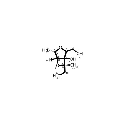 B[C@@H]1OC(CO)C2(O)[C@@H]1O[C@@]2(C)CC